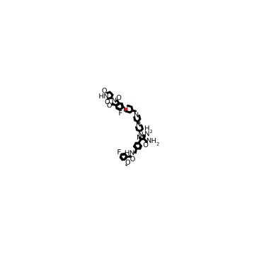 COc1ccc(F)cc1C(=O)NCc1ccc(-c2nn(C3CCN(C4CCN(CC5CCN(c6cc7c(cc6F)C(=O)N(C6CCC(=O)NC6=O)C7=O)CC5)CC4)CC3)c(N)c2C(N)=O)cc1